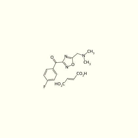 CN(C)Cc1nc(C(=O)c2ccc(F)cc2)no1.O=C(O)C=CC(=O)O